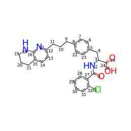 O=C(NC(Cc1ccc(CCCc2ccc3c(n2)NCCC3)cc1)C(=O)O)c1ccccc1Cl